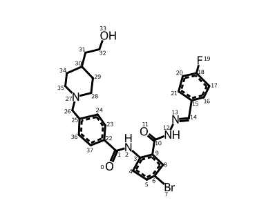 O=C(Nc1ccc(Br)cc1C(=O)N/N=C/c1ccc(F)cc1)c1ccc(CN2CCC(CCO)CC2)cc1